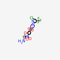 NC[C@@H]1OC(=O)N2c3ccc(S(=O)(=O)N4CCN(c5cc(C(F)(F)F)cc(Cl)n5)CC4)cc3OC[C@@H]12